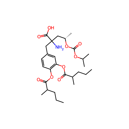 CCCC(C)C(=O)Oc1ccc(CC(N)(C[C@H](C)OC(=O)OC(C)C)C(=O)O)cc1OC(=O)C(C)CCC